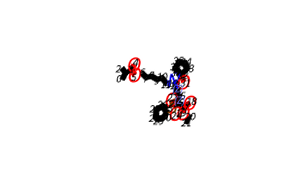 C=C(C)C(=O)OCCCCCCN1/C(=C/C=C(/C(=O)OCC)S(=O)(=O)c2ccccc2)Oc2ccccc21